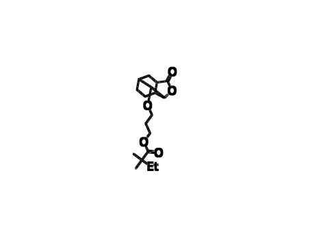 CCC(C)(C)C(=O)OCCCOC1C2CCC3C(C2)C(=O)OC31